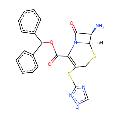 N[C@@H]1C(=O)N2C(C(=O)OC(c3ccccc3)c3ccccc3)=C(Sc3nc[nH]n3)CS[C@H]12